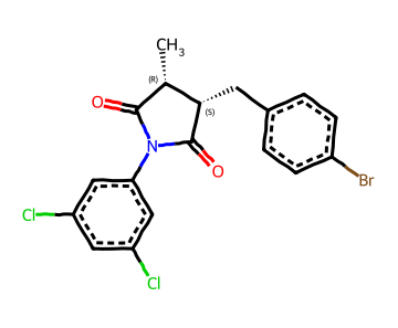 C[C@H]1C(=O)N(c2cc(Cl)cc(Cl)c2)C(=O)[C@H]1Cc1ccc(Br)cc1